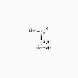 C[C@H](N)C(=O)O.OO